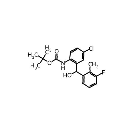 Cc1c(F)cccc1C(O)c1cc(Cl)ccc1NC(=O)OC(C)(C)C